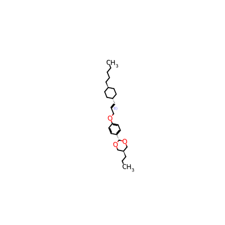 CCCCC[C@H]1CC[C@H](/C=C/COc2ccc([C@H]3OC[C@H](CCC)CO3)cc2)CC1